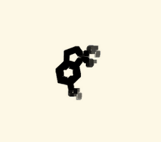 [O-][N+]1(C(F)(F)F)CCc2ccc(C(F)(F)F)cc21